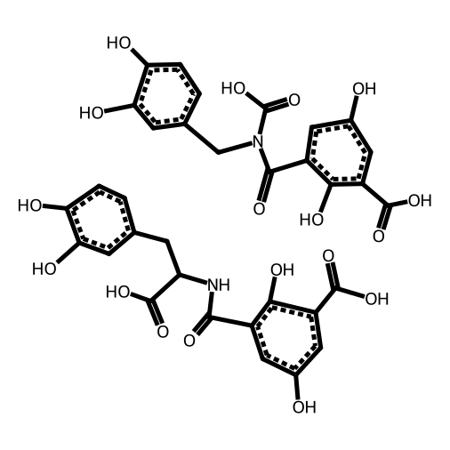 O=C(O)c1cc(O)cc(C(=O)N(Cc2ccc(O)c(O)c2)C(=O)O)c1O.O=C(O)c1cc(O)cc(C(=O)NC(Cc2ccc(O)c(O)c2)C(=O)O)c1O